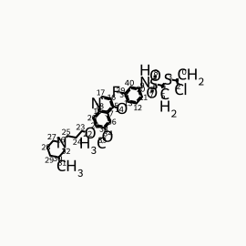 C=C(Cl)SC(=C)S(=O)(=O)Nc1ccc(Oc2ccnc3cc(OCCCN4CCCC(C)C4)c(OC)cc23)c(F)c1